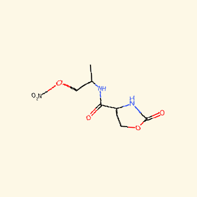 CC(CO[N+](=O)[O-])NC(=O)C1COC(=O)N1